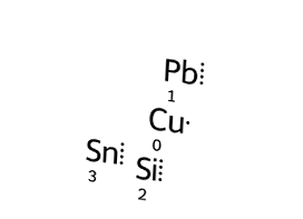 [Cu].[Pb].[Si].[Sn]